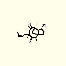 C/C=C\C[C@]1(C)C[C@@H](O)[C@@]2(C)C3[C@H](OC)CCC3(CC[C@H]2C)[C@@H](C)C1=O